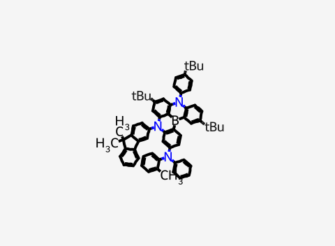 Cc1ccccc1N(c1ccccc1)c1ccc2c(c1)N(c1ccc3c(c1)-c1ccccc1C3(C)C)c1cc(C(C)(C)C)cc3c1B2c1cc(C(C)(C)C)ccc1N3c1ccc(C(C)(C)C)cc1